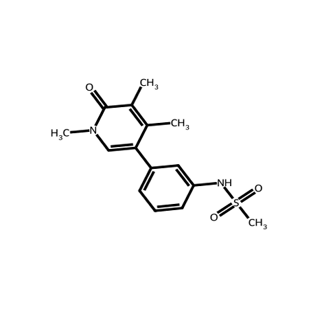 Cc1c(-c2cccc(NS(C)(=O)=O)c2)cn(C)c(=O)c1C